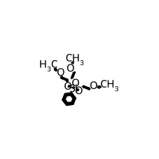 CCOCCO[Si](OCCOCC)(OCCOCC)c1ccccc1